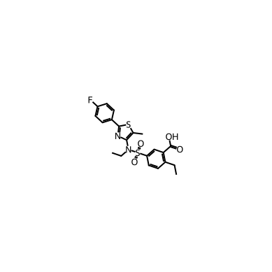 CCc1ccc(S(=O)(=O)N(CC)c2nc(-c3ccc(F)cc3)sc2C)cc1C(=O)O